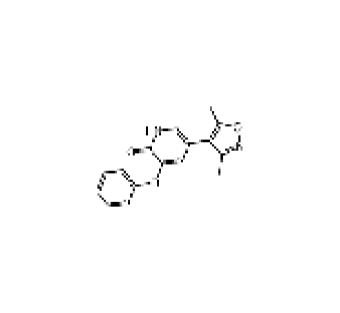 Cc1noc(C)c1-c1c[nH]c(=O)c(Oc2ccccc2)c1